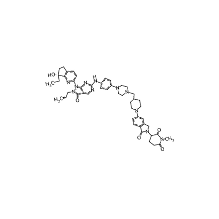 C=CCn1c(=O)c2cnc(Nc3ccc(N4CCN(CC5CCN(c6ccc7c(c6)CN(C6CCC(=O)N(C)C6=O)C7=O)CC5)CC4)cc3)nc2n1-c1ccc2c(n1)[C@@](O)(CC)CC2